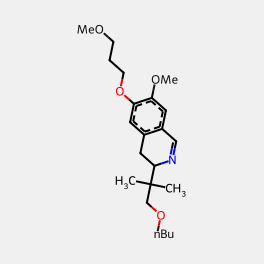 CCCCOCC(C)(C)C1Cc2cc(OCCCOC)c(OC)cc2C=N1